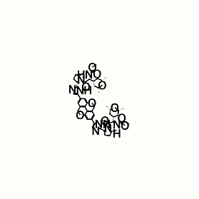 COC(=O)NC(C(=O)N1[C@@H](C)CC[C@H]1c1ncc(-c2cc3c4c(c2)OCc2cc(-c5cnc([C@@H]6CC[C@H](C)N6C(=O)[C@@H](NC(=O)OC)[C@H]6C[C@@H](C)O[C@@H](C)C6)[nH]5)cc(c2-4)OC3)[nH]1)[C@H]1C[C@@H](C)O[C@@H](C)C1